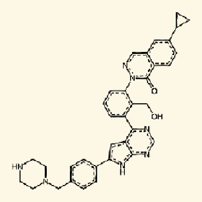 O=c1c2ccc(C3CC3)cc2cnn1-c1cccc(-c2ncnc3[nH]c(-c4ccc(CN5CCNCC5)cc4)cc23)c1CO